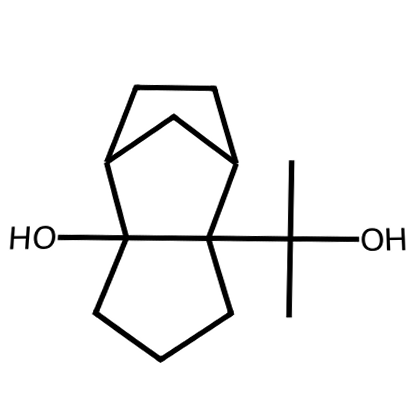 CC(C)(O)C12CCCC1(O)C1CCC2C1